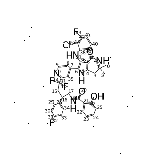 CC1(C)Cc2[nH]c(-c3ccnc(C(F)(F)CC(CNC(=O)c4ccccc4O)c4ccc(F)cc4)c3)c(Nc3cccc(F)c3Cl)c2C(=O)N1